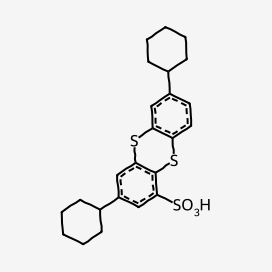 O=S(=O)(O)c1cc(C2CCCCC2)cc2c1Sc1ccc(C3CCCCC3)cc1S2